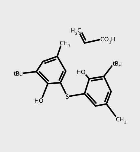 C=CC(=O)O.Cc1cc(Sc2cc(C)cc(C(C)(C)C)c2O)c(O)c(C(C)(C)C)c1